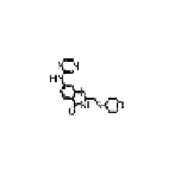 O=c1[nH]c(CSC2CCOCC2)nc2cc(Nc3cnccn3)ccc12